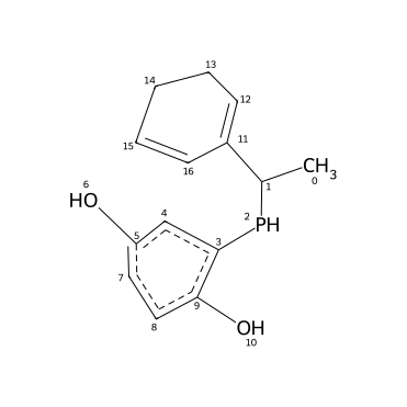 CC(Pc1cc(O)ccc1O)C1=CCCC=C1